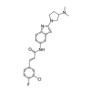 CN(C)C1CCN(c2nc3ccc(NC(=O)/C=C/c4ccc(F)c(Cl)c4)cc3s2)C1